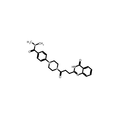 CN(C)C(=O)c1ccc(N2CCN(C(=O)CCc3nc4ccccc4c(=O)[nH]3)CC2)cc1